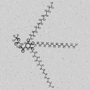 CCCCCCCCCCCCCCCCCCOc1cc(C(=O)N(C)CC(=O)OC(C)(C)C)cc(OCCCCCCCCCCCCCCCCCC)c1OCCCCCCCCCCCCCCCCCC